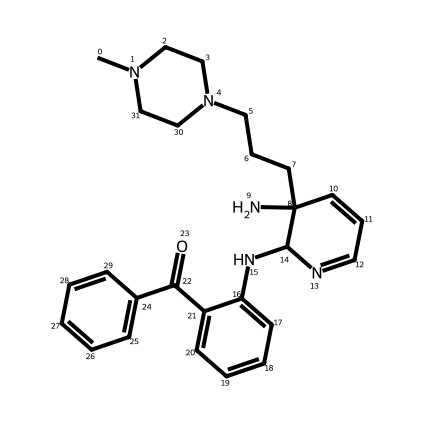 CN1CCN(CCCC2(N)C=CC=NC2Nc2ccccc2C(=O)c2ccccc2)CC1